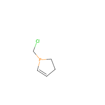 ClCP1C=CCC1